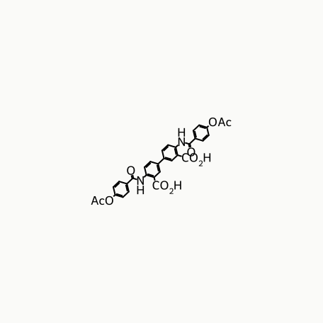 CC(=O)Oc1ccc(C(=O)Nc2ccc(-c3ccc(NC(=O)c4ccc(OC(C)=O)cc4)c(C(=O)O)c3)cc2C(=O)O)cc1